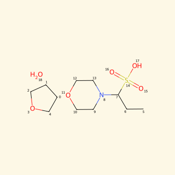 C1CCOC1.CCC(N1CCOCC1)S(=O)(=O)O.O